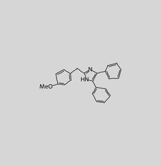 COc1ccc(Cc2nc(-c3ccccc3)c(-c3ccccc3)[nH]2)cc1